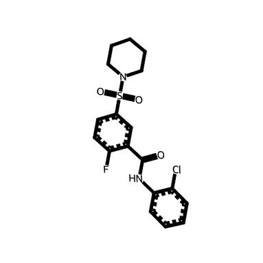 O=C(Nc1ccccc1Cl)c1cc(S(=O)(=O)N2CCCCC2)ccc1F